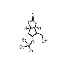 CC[Si](CC)(CC)O[C@@H]1C[C@@H]2OC(=O)C[C@@H]2[C@H]1CO